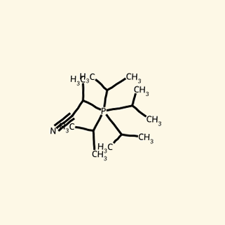 CC(C)P(C(C)C)(C(C)C)(C(C)C)C(C)C#N